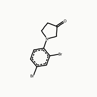 O=C1CCN(c2ccc(Br)cc2Br)C1